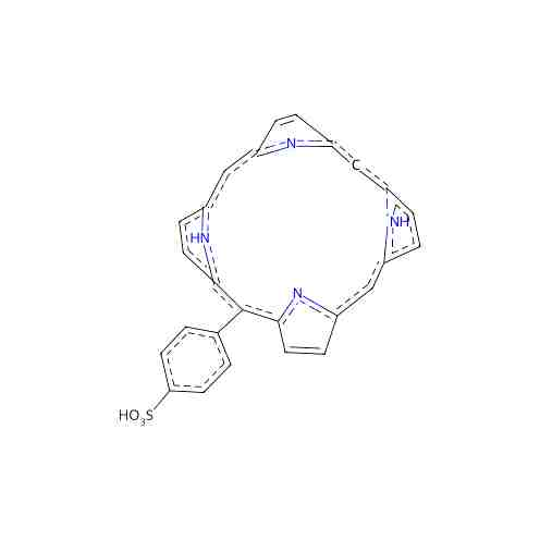 O=S(=O)(O)c1ccc(-c2c3nc(cc4ccc(cc5nc(cc6ccc2[nH]6)C=C5)[nH]4)C=C3)cc1